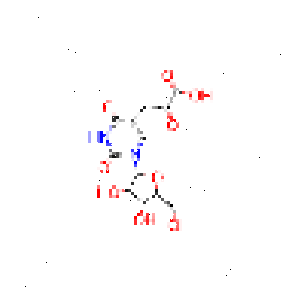 O=C(O)C(=O)Cc1cn([C@H]2O[C@@H](CO)C(O)C2O)c(=O)[nH]c1=O